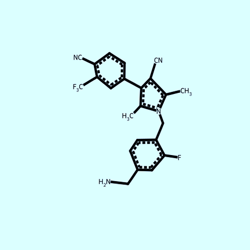 Cc1c(C#N)c(-c2ccc(C#N)c(C(F)(F)F)c2)c(C)n1Cc1ccc(CN)cc1F